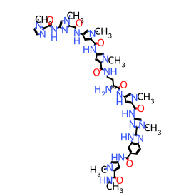 CNC(=O)c1cc(NC(=O)c2ccc3nc(-c4nc(NC(=O)c5cc(NC(=O)[C@H](N)CCNC(=O)c6cc(NC(=O)c7cc(NC(=O)c8nc(NC(=O)c9nccn9C)cn8C)cn7C)cn6C)cn5C)cn4C)[nH]c3c2)cn1C